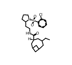 CCC1CC2CC(C2)C[C@H](C(=O)NCCC2CCCN2S(=O)(=O)c2ccccc2Cl)C1